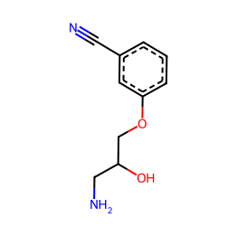 N#Cc1cccc(OCC(O)CN)c1